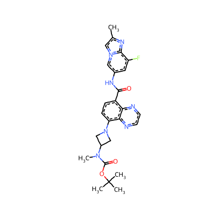 Cc1cn2cc(NC(=O)c3ccc(N4CC(N(C)C(=O)OC(C)(C)C)C4)c4nccnc34)cc(F)c2n1